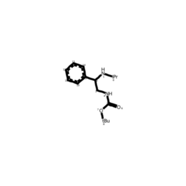 CC(C)NC(CNC(=O)OC(C)(C)C)c1ccccc1